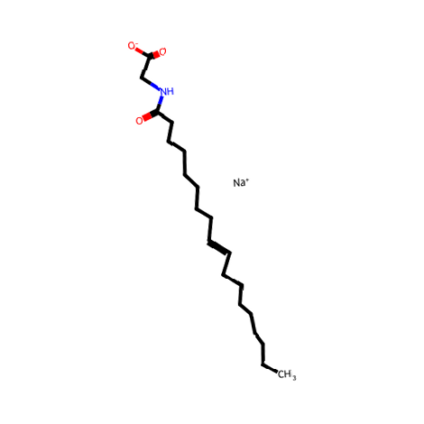 CCCCCCCCC=CCCCCCCCC(=O)NCC(=O)[O-].[Na+]